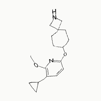 COc1nc(OC2CCC3(CC2)CNC3)ccc1C1CC1